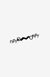 CCCOC=CCCOCCC